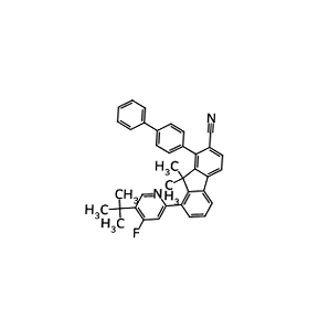 CC(C)(C)c1cnc(-c2cccc3c2C(C)(C)c2c-3ccc(C#N)c2-c2ccc(-c3ccccc3)cc2)cc1F